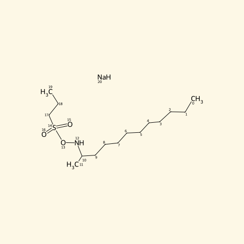 CCCCCCCCCCC(C)NOS(=O)(=O)CCC.[NaH]